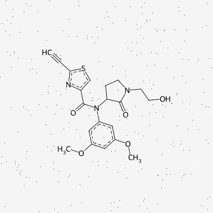 C#Cc1nc(C(=O)N(c2cc(OC)cc(OC)c2)C2CCN(CCO)C2=O)cs1